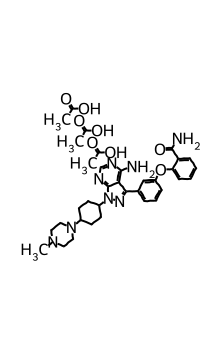 CC(=O)O.CC(=O)O.CC(=O)O.CN1CCN(C2CCC(n3nc(-c4cccc(Oc5ccccc5C(N)=O)c4)c4c(N)ncnc43)CC2)CC1